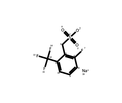 O=S(=O)([O-])Cc1c(F)cccc1C(F)(F)F.[Na+]